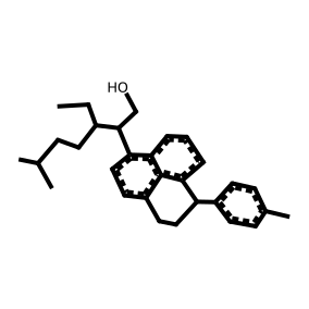 CCC(CCC(C)C)C(CO)c1ccc2c3c(cccc13)C(c1ccc(C)cc1)CC2